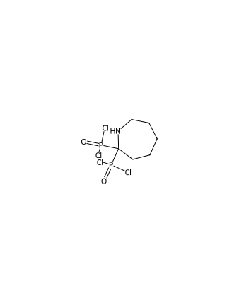 O=P(Cl)(Cl)C1(P(=O)(Cl)Cl)CCCCCN1